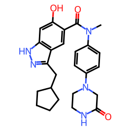 CN(C(=O)c1cc2c(CC3CCCC3)n[nH]c2cc1O)c1ccc(N2CCNC(=O)C2)cc1